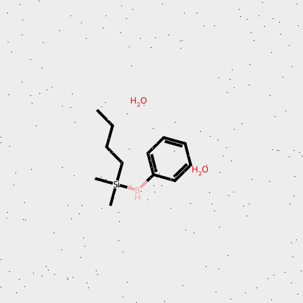 CCCC[Si](C)(C)Bc1ccccc1.O.O